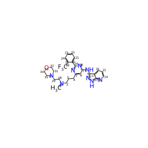 CN(CCCc1cc(Nc2n[nH]c3ncccc23)nc(-c2ccccc2C(F)(F)F)n1)CCN1CCOCC1